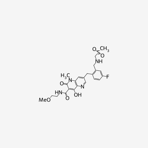 COCCNC(=O)c1c(O)c2ncc(Cc3ccc(F)cc3CNCS(C)(=O)=O)cc2n(C)c1=O